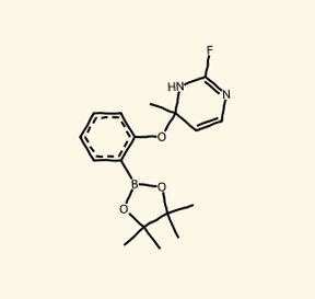 CC1(Oc2ccccc2B2OC(C)(C)C(C)(C)O2)C=CN=C(F)N1